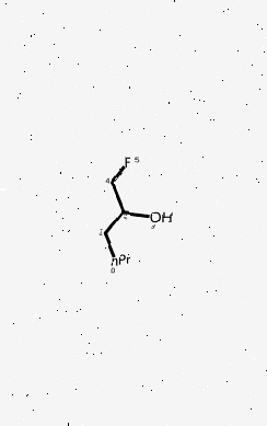 CCCCC(O)CF